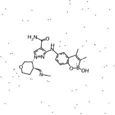 CN=C[C@H]1CCOC[C@@H]1n1cc(C(N)=O)c(Nc2ccc3c(c2)C(C)=C(C)B(O)O3)n1